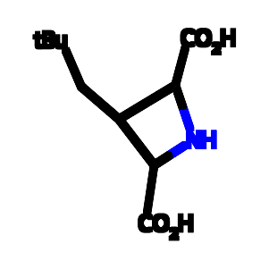 CC(C)(C)CC1C(C(=O)O)NC1C(=O)O